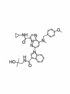 COc1ccc(CN(C)c2cc(-n3cc(C(=O)NCC(C)(C)O)c4ccccc43)nn3c(C(=O)NC4CC4)cnc23)cc1